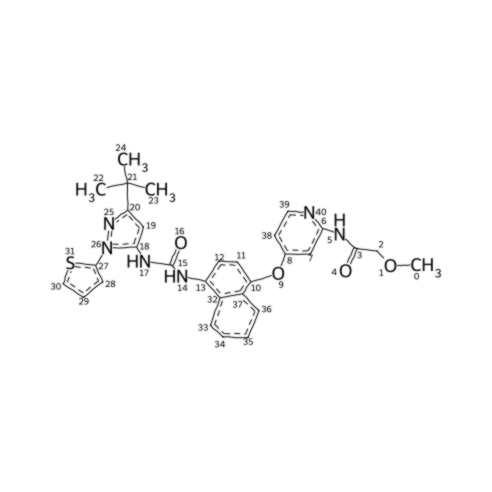 COCC(=O)Nc1cc(Oc2ccc(NC(=O)Nc3cc(C(C)(C)C)nn3-c3cccs3)c3ccccc23)ccn1